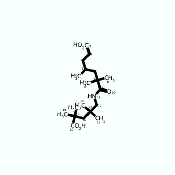 CC(CCC(=O)O)CC(C)(C)C(=O)NCC(C)(C)CC(C)(C)C(=O)O